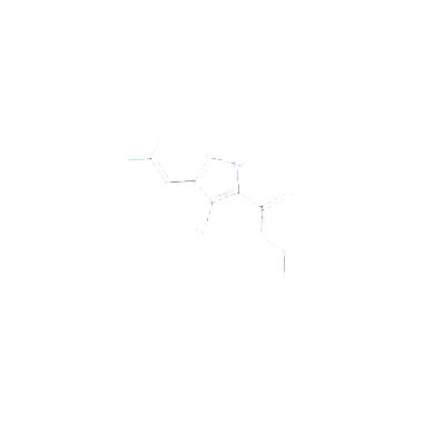 CCOC(=O)c1[nH]nc(C=C(F)F)c1Br